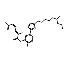 C=C(C)/C=C\C=C(/C)C(=C)Cc1cc(-c2ccc(CCCCCC(C)CCC)s2)ccc1C